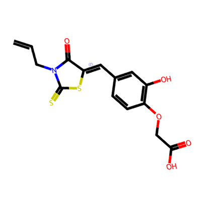 C=CCN1C(=O)/C(=C/c2ccc(OCC(=O)O)c(O)c2)SC1=S